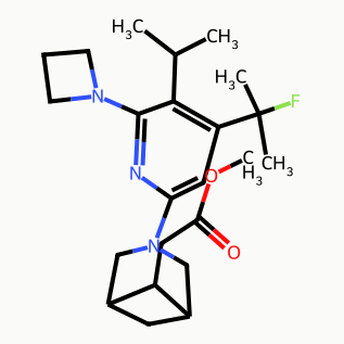 COC(=O)CC1C2CC1CN(c1cc(C(C)(C)F)c(C(C)C)c(N3CCC3)n1)C2